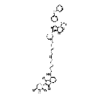 Nc1ncnc2c1c(-c1ccc(Oc3ccccc3)cc1)nn2C1CCCN(CCOCCOCCOCCNc2cccc3c2C(=O)N(C2CCC(=O)NC2=O)C3=O)C1